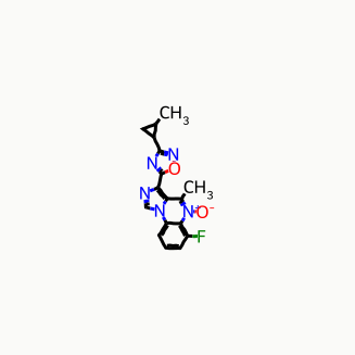 Cc1c2c(-c3nc(C4CC4C)no3)ncn2c2cccc(F)c2[n+]1[O-]